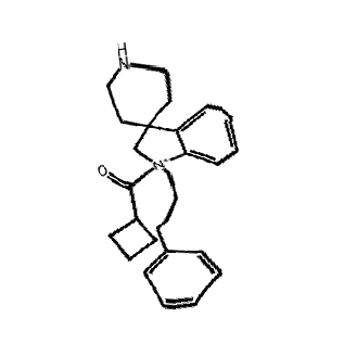 O=C(C1CCC1)[N+]1(CCc2ccccc2)CC2(CCNCC2)c2ccccc21